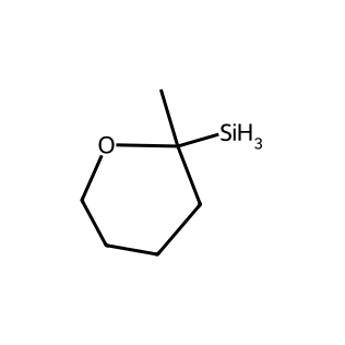 CC1([SiH3])CCCCO1